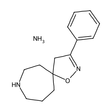 N.c1ccc(C2=NOC3(CCCNCC3)C2)cc1